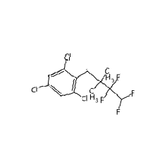 CC(C)([CH]c1c(Cl)cc(Cl)cc1Cl)C(F)(F)C(F)F